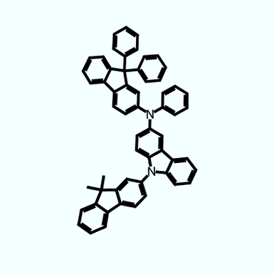 CC1(C)c2ccccc2-c2ccc(-n3c4ccccc4c4cc(N(c5ccccc5)c5ccc6c(c5)C(c5ccccc5)(c5ccccc5)c5ccccc5-6)ccc43)cc21